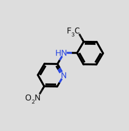 O=[N+]([O-])c1ccc(Nc2ccccc2C(F)(F)F)nc1